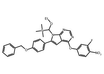 CCOC(n1c(-c2ccc(OCc3ccccc3)cc2)cc2c(Oc3ccc([N+](=O)[O-])c(F)c3)ncnc21)[Si](C)(C)C